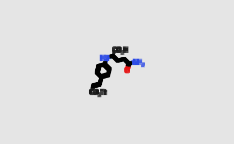 CCOC(=O)C=Cc1ccc(N[C@@H](CCC(N)=O)C(=O)O)cc1